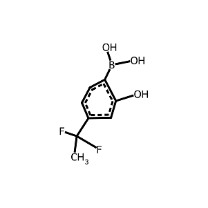 CC(F)(F)c1ccc(B(O)O)c(O)c1